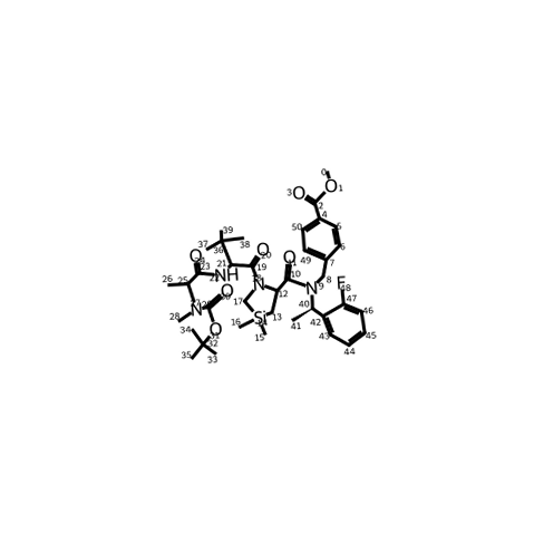 COC(=O)c1ccc(CN(C(=O)C2C[Si](C)(C)CN2C(=O)C(NC(=O)C(C)N(C)C(=O)OC(C)(C)C)C(C)(C)C)[C@H](C)c2ccccc2F)cc1